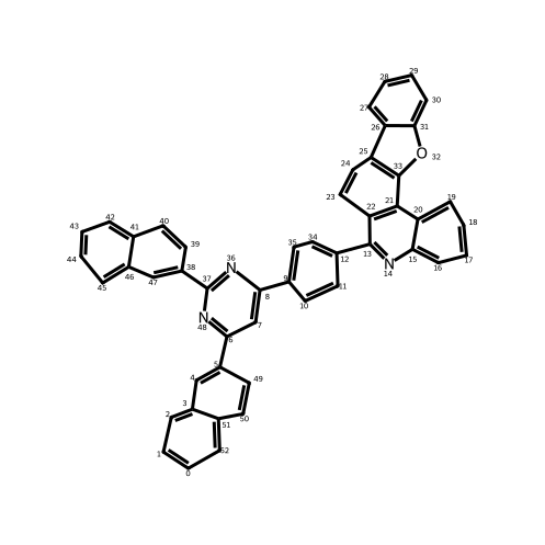 c1ccc2cc(-c3cc(-c4ccc(-c5nc6ccccc6c6c5ccc5c7ccccc7oc56)cc4)nc(-c4ccc5ccccc5c4)n3)ccc2c1